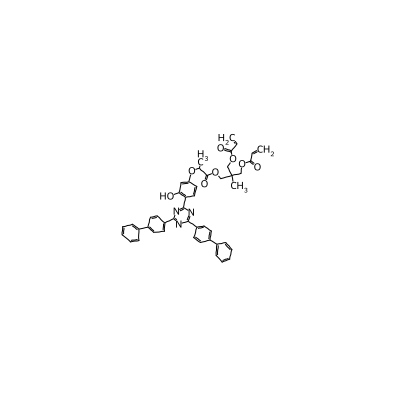 C=CC(=O)OCC(C)(COC(=O)C=C)COC(=O)C(C)Oc1ccc(-c2nc(-c3ccc(-c4ccccc4)cc3)nc(-c3ccc(-c4ccccc4)cc3)n2)c(O)c1